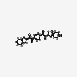 O=C(NC1COC2(CCNCC2)C1)c1ccc(NC(=O)N2Cc3ccccc3C2)cc1